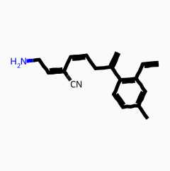 C=Cc1cc(C)ccc1C(=C)C/C=C\C(C#N)=C/CN